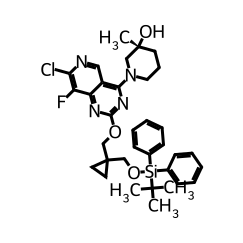 CC(C)(C)[Si](OCC1(COc2nc(N3CCC[C@@](C)(O)C3)c3cnc(Cl)c(F)c3n2)CC1)(c1ccccc1)c1ccccc1